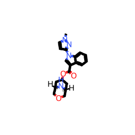 Cn1ccc(-n2cc(C(=O)OC3C[C@H]4COC[C@@H](C3)N4)c3ccccc32)n1